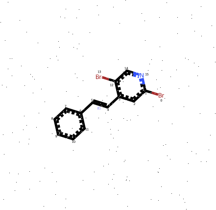 Brc1cc(/C=C/c2ccccc2)c(Br)cn1